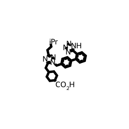 CC(C)CCc1nc(CC2CCC(C(=O)O)CC2)n(Cc2ccc(-c3ccccc3-c3nnn[nH]3)cc2)n1